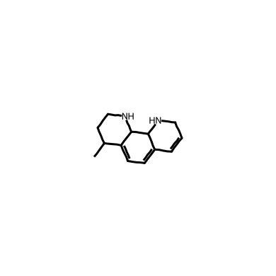 CC1CCNC2C1=CC=C1C=CCNC12